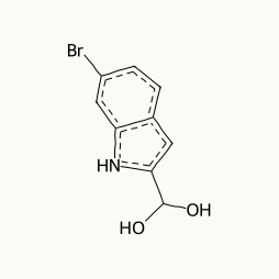 OC(O)c1cc2ccc(Br)cc2[nH]1